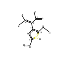 C=C(C)C(=C(C)C)c1cc(CC)sc1CC